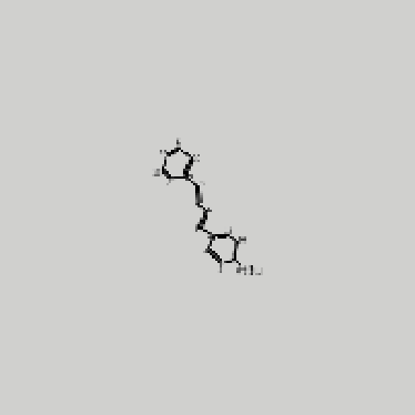 CC(C)(C)c1ccc(C=CC=Cc2ccccc2)cc1